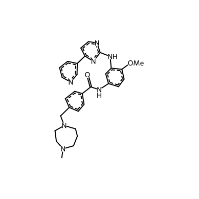 COc1ccc(NC(=O)c2ccc(CN3CCCN(C)CC3)cc2)cc1Nc1nccc(-c2cccnc2)n1